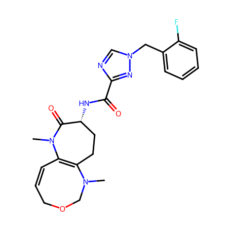 CN1COC/C=C\C2=C1CC[C@@H](NC(=O)c1ncn(Cc3ccccc3F)n1)C(=O)N2C